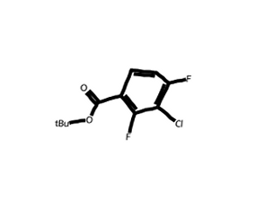 CC(C)(C)OC(=O)c1ccc(F)c(Cl)c1F